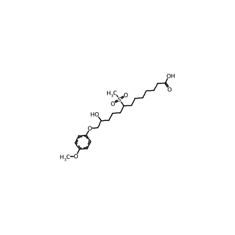 COc1ccc(OCC(O)CCCC(CCCCCCC(=O)O)S(C)(=O)=O)cc1